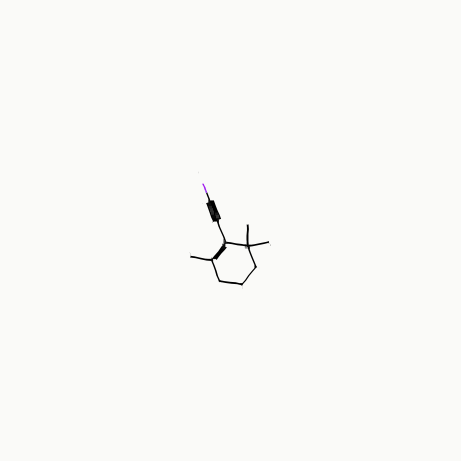 CC1=C(C#CI)C(C)(C)CCC1